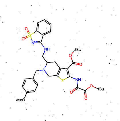 COc1ccc(CN2Cc3sc(NC(=O)C(=O)OC(C)(C)C)c(C(=O)OC(C)(C)C)c3CC2CNC2=NS(=O)(=O)c3ccccc32)cc1